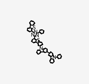 c1ccc(-c2nc(-c3cccc4c3sc3ccccc34)nc(-c3cccc4c3sc3ccc(-n5c6ccccc6c6cc(-c7ccc8c(c7)c7ccccc7n8-c7ccccc7)ccc65)cc34)n2)cc1